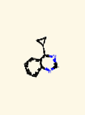 [c]1nc(C2CC2)c2ccccc2n1